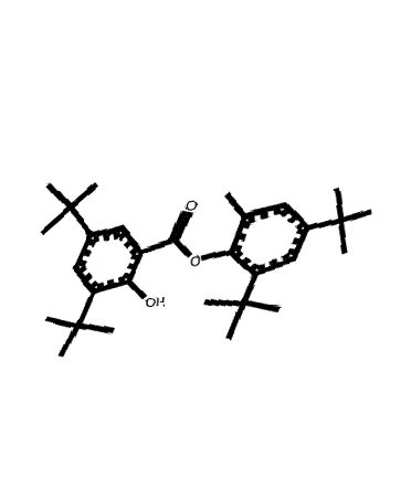 Cc1cc(C(C)(C)C)cc(C(C)(C)C)c1OC(=O)c1cc(C(C)(C)C)cc(C(C)(C)C)c1O